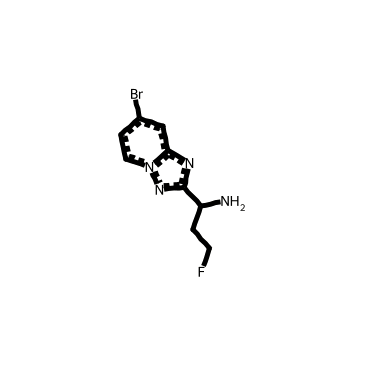 NC(CCF)c1nc2cc(Br)ccn2n1